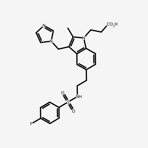 Cc1c(Cn2ccnc2)c2cc(CCNS(=O)(=O)c3ccc(F)cc3)ccc2n1CCC(=O)O